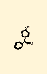 O=[C]C(c1ccccc1)N1CCC(O)CC1